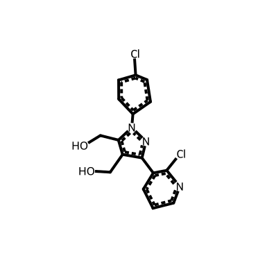 OCc1c(-c2cccnc2Cl)nn(-c2ccc(Cl)cc2)c1CO